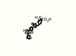 CC(C(=O)O)N1CCN(CC2CN(c3ccc(C(=N)NC(=O)c4cccnc4)cc3)C(=O)O2)CC1